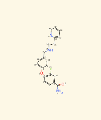 NC(=O)c1ccc(Oc2ccc(CNCCc3ccccn3)cc2)c(F)c1